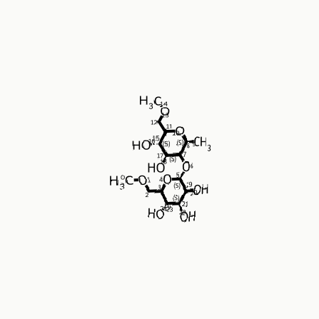 COCC1O[C@@H](OC2[C@H](C)OC(COC)[C@@H](O)[C@@H]2O)C(O)[C@@H](O)[C@@H]1O